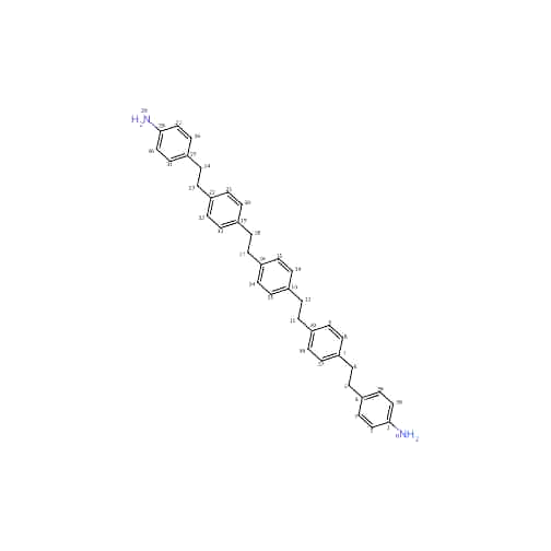 Nc1ccc(CCc2ccc(CCc3ccc(CCc4ccc(CCc5ccc(N)cc5)cc4)cc3)cc2)cc1